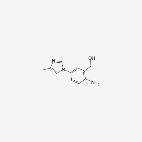 Cc1cn(-c2ccc(N)c(CO)c2)cn1